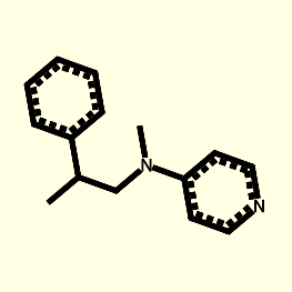 CC(CN(C)c1ccncc1)c1ccccc1